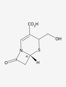 O=C(O)C1=CN2C(=O)C[C@H]2SC1CO